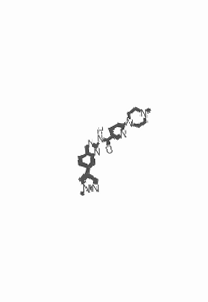 CN1CCN(c2ccc(C(=O)Nc3ncc4ccc(-c5cnn(C)c5)cc4n3)cn2)CC1